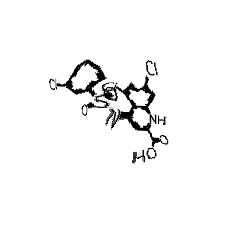 O=C(O)c1c/c(=N/S(=O)(=O)c2cccc(Cl)c2)c2c(Cl)cc(Cl)cc2[nH]1